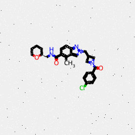 Cc1c(C(=O)NC[C@H]2CCCCO2)ccc2nn(CC3CN(C(=O)c4ccc(Cl)cc4)C3)cc12